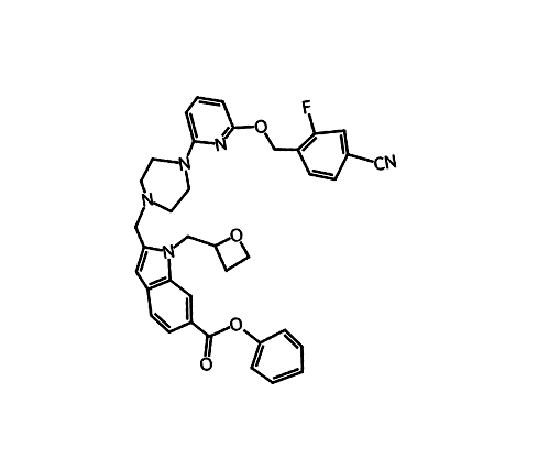 N#Cc1ccc(COc2cccc(N3CCN(Cc4cc5ccc(C(=O)Oc6ccccc6)cc5n4CC4CCO4)CC3)n2)c(F)c1